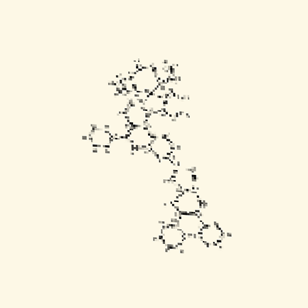 c1ccc(-c2nc3ccc(-c4ccc5c(c4)nc(-c4ccccc4)c4ccc6c(c45)-c4ccccc4C64c5ccccc5Oc5ccccc54)cc3nc2-c2ccccc2)cc1